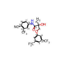 CC(O)(COc1cc(C(F)(F)F)cc(C(F)(F)F)c1)C(=O)Nc1ccc(C#N)c(C(F)(F)F)c1